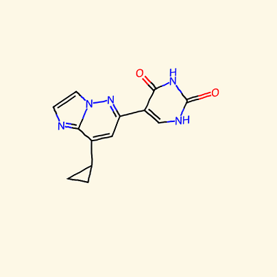 O=c1[nH]cc(-c2cc(C3CC3)c3nccn3n2)c(=O)[nH]1